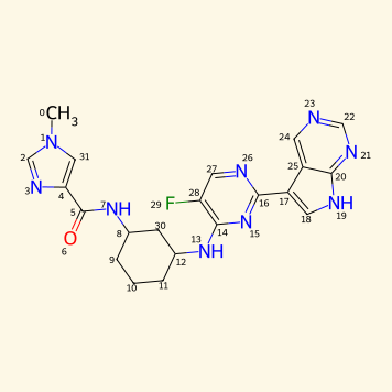 Cn1cnc(C(=O)NC2CCCC(Nc3nc(-c4c[nH]c5ncncc45)ncc3F)C2)c1